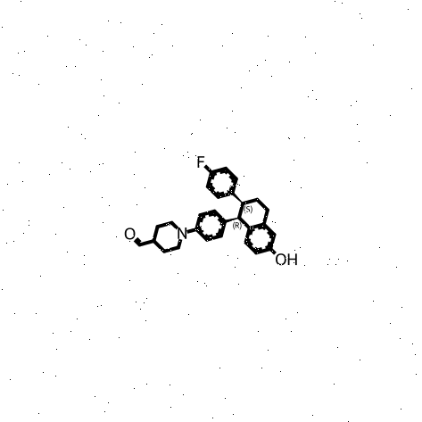 O=CC1CCN(c2ccc([C@@H]3c4ccc(O)cc4CC[C@@H]3c3ccc(F)cc3)cc2)CC1